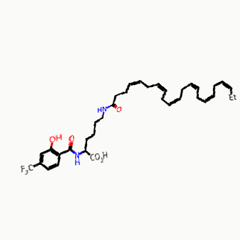 CC/C=C\C/C=C\C/C=C\C/C=C\C/C=C\C/C=C\CCC(=O)NCCCCC(NC(=O)c1ccc(C(F)(F)F)cc1O)C(=O)O